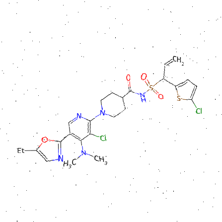 C=CC(c1ccc(Cl)s1)S(=O)(=O)NC(=O)C1CCN(c2ncc(-c3ncc(CC)o3)c(N(C)C)c2Cl)CC1